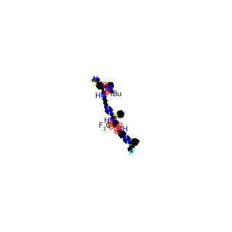 C=C(CCC1=C(CN2CCN(c3ccc(C(=O)NS(=O)(=O)c4ccc(N[C@H](CCN5CCN(CCCCCCNC(=O)C[C@H](NC(=O)[C@@H]6CCCN6C(=O)CC(C)(C)C)c6ccc(-c7scnc7C)cc6)CC5)CSc5ccccc5)c(S(=O)(=O)C(F)(F)F)c4)cc3)CC2)CCC(C)(C)C1)C(F)F